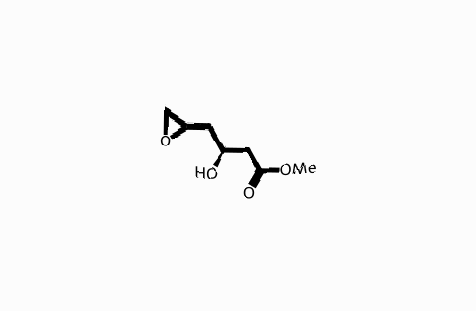 COC(=O)C[C@@H](O)CC1CO1